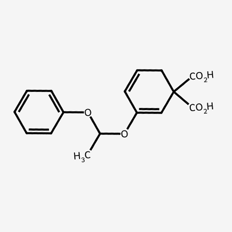 CC(OC1=CC(C(=O)O)(C(=O)O)CC=C1)Oc1ccccc1